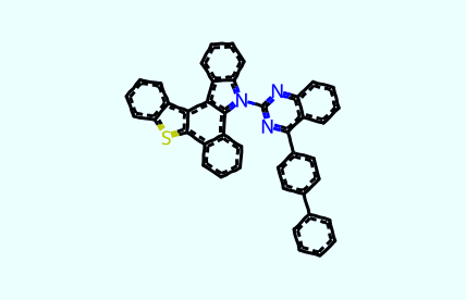 c1ccc(-c2ccc(-c3nc(-n4c5ccccc5c5c6c7ccccc7sc6c6ccccc6c54)nc4ccccc34)cc2)cc1